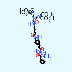 NC(Cc1ccccc1)C(=O)NNC(=O)CCc1ccc(CNC(=O)CCCCCNC(=O)CN(CCN(CC(=O)O)CC(=O)O)CCN(CC(=O)O)CC(=O)O)cc1